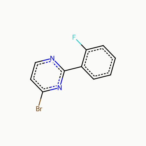 Fc1ccccc1-c1nccc(Br)n1